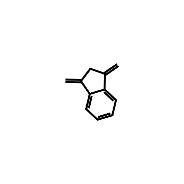 C=C1CC(=C)c2ccccc21